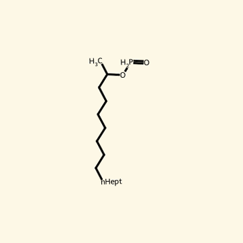 CCCCCCCCCCCCCCC(C)O[PH2]=O